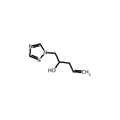 C=CCC(O)Cn1cncn1